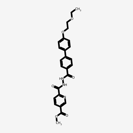 CCOCCOc1ccc(-c2ccc(C(=O)NNC(=O)c3ccc(C(=O)OC)cn3)cc2)cc1